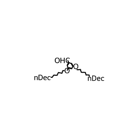 CCCCCCCCCCCCCCCCOc1cc(C=O)cc(OCCCCCCCCCCCCCCCC)c1